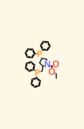 CCOC(=O)N1CC(P(c2ccccc2)c2ccccc2)CC1CP(c1ccccc1)c1ccccc1